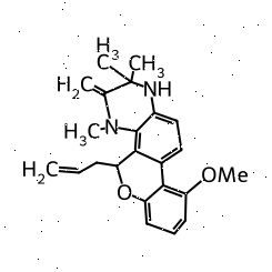 C=CCC1Oc2cccc(OC)c2-c2ccc3c(c21)N(C)C(=C)C(C)(C)N3